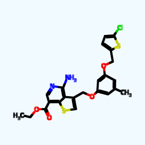 CCOC(=O)c1cnc(N)c2c(COc3cc(C)cc(OCc4ccc(Cl)s4)c3)csc12